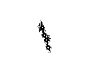 CCOc1ccc(OCC2C=CC(c3ccc(CCC4CCC(C)CC4)c(F)c3F)CC2)c(F)c1F